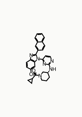 O=C(C1CC1)N1CCC[C@H](Nc2nccc(-n3c(-c4ccc5ccccc5c4)nc4ccc(O)cc43)n2)C1